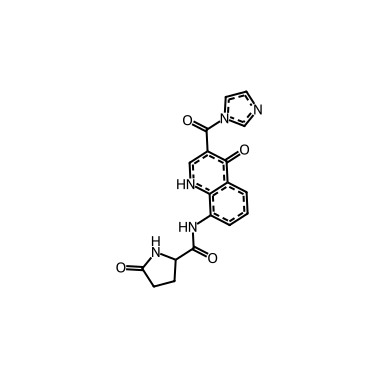 O=C1CCC(C(=O)Nc2cccc3c(=O)c(C(=O)n4ccnc4)c[nH]c23)N1